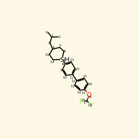 CC(C)CC1CC[SiH](c2ccc(-c3ccc(OC(F)F)cc3)cc2)CC1